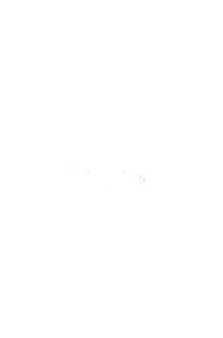 FC(F)(F)Oc1n[c]co1